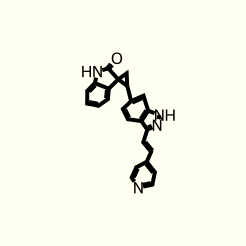 O=C1Nc2ccccc2C12CC2c1ccc2c(/C=C/c3ccncc3)n[nH]c2c1